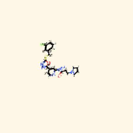 O=C(CCN1CCCC1)Nc1cc(-c2nnc(SCc3cccc(F)c3)o2)ccn1